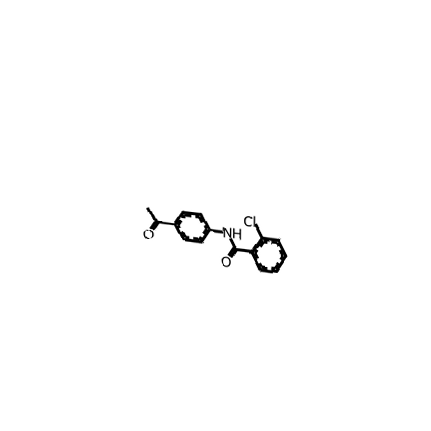 CC(=O)c1ccc(NC(=O)c2ccccc2Cl)cc1